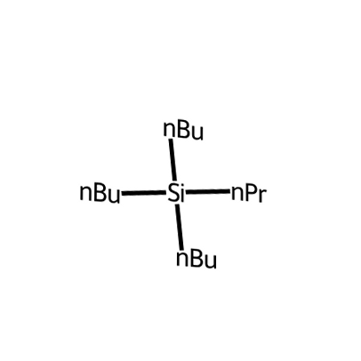 CCCC[Si](CCC)(CCCC)CCCC